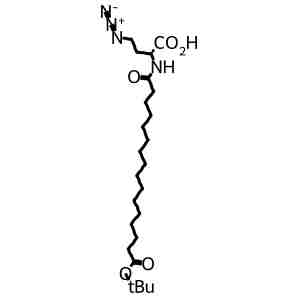 CC(C)(C)OC(=O)CCCCCCCCCCCCCCC(=O)N[C@@H](CCN=[N+]=[N-])C(=O)O